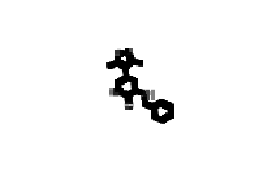 Cc1noc(C)c1-c1c[nH]c(=O)c(NCc2ccccc2)c1